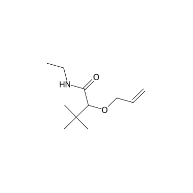 C=CCOC(C(=O)NCC)C(C)(C)C